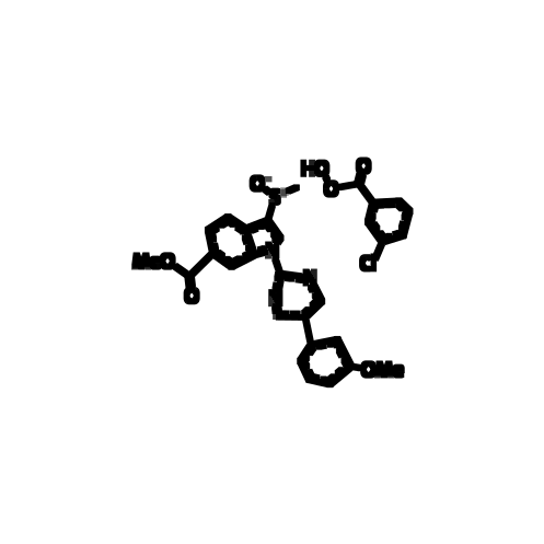 COC(=O)c1ccc2c([S+](C)[O-])cn(-c3ncc(-c4cccc(OC)c4)cn3)c2c1.O=C(OO)c1cccc(Cl)c1